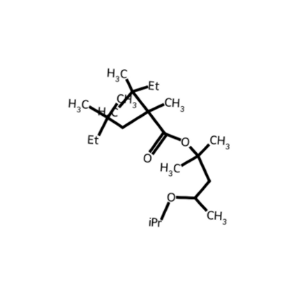 CCC(C)(C)CC(C)(C(=O)OC(C)(C)CC(C)OC(C)C)C(C)(C)CC